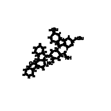 CC(C)(C)c1ccc2c(c1)c1cc(C(C)(C)C)ccc1n2-c1cc(-n2c3ccccc3c3c4oc5ccccc5c4ccc32)c(C#N)cc1C=N